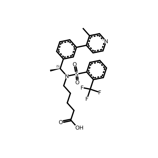 Cc1cnccc1-c1cccc([C@H](C)N(CCCCC(=O)O)S(=O)(=O)c2ccccc2C(F)(F)F)c1